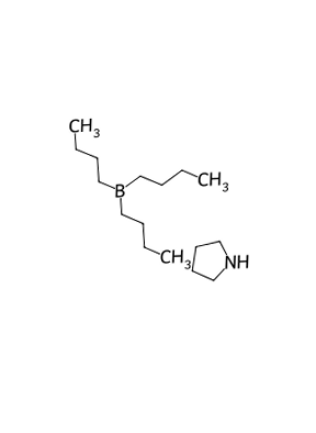 C1CCNC1.CCCCB(CCCC)CCCC